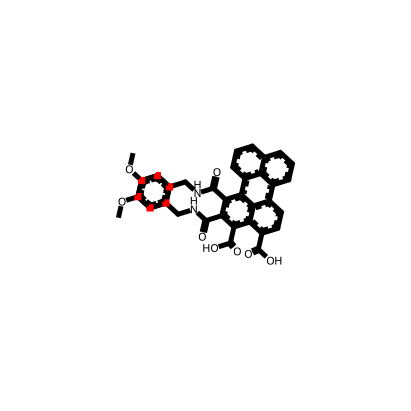 COc1ccc(CNC(=O)c2c(C(=O)O)c3c(C(=O)O)ccc4c5cccc6cccc(c(c2C(=O)NCc2ccc(OC)cc2)c34)c65)cc1